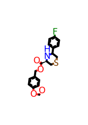 O=C(OCc1ccc2c(c1)OCO2)[C@@H]1CSCC(c2ccc(F)cc2)N1